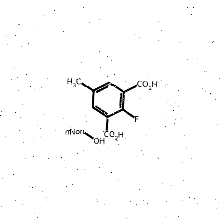 CCCCCCCCCO.Cc1cc(C(=O)O)c(F)c(C(=O)O)c1